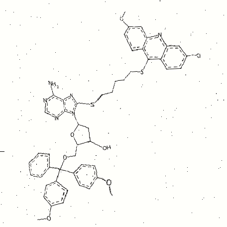 COc1ccc(C(OCC2OC(n3c(SCCCCCSc4c5ccc(Cl)cc5nc5cc(OC)ccc45)nc4c(N)ncnc43)CC2O)(c2ccccc2)c2ccc(OC)cc2)cc1